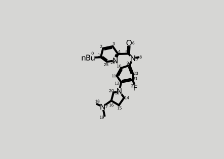 CCCCc1ccc(C(=O)N(C)c2ccc(N3CCC(N(C)C)C3)c(F)c2)nc1